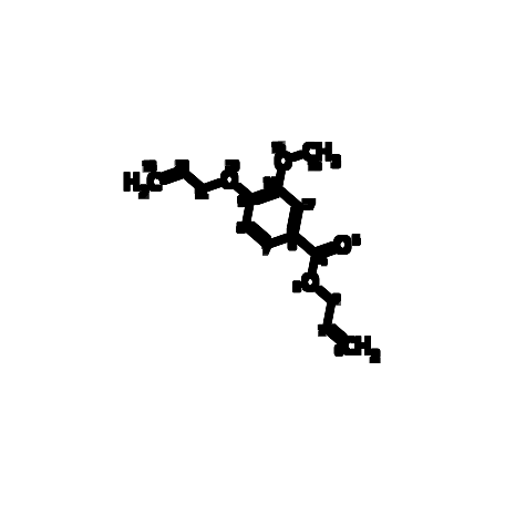 C=CCOC(=O)c1ccc(OCC=C)c(OC)c1